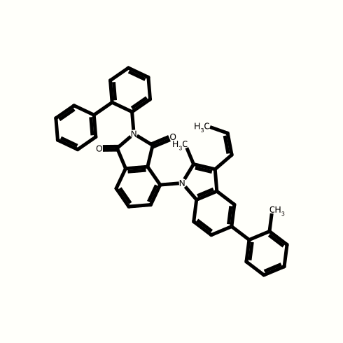 C/C=C\c1c(C)n(-c2cccc3c2C(=O)N(c2ccccc2-c2ccccc2)C3=O)c2ccc(-c3ccccc3C)cc12